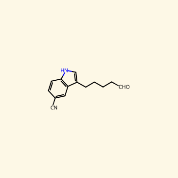 N#Cc1ccc2[nH]cc(CCCCC=O)c2c1